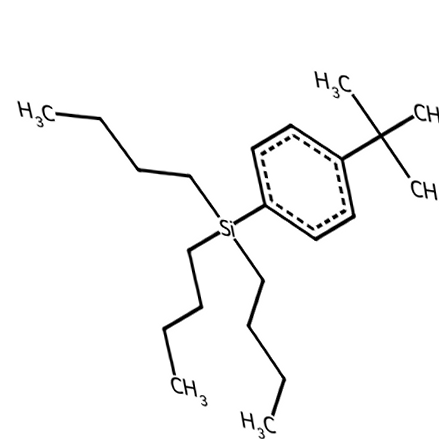 CCCC[Si](CCCC)(CCCC)c1ccc(C(C)(C)C)cc1